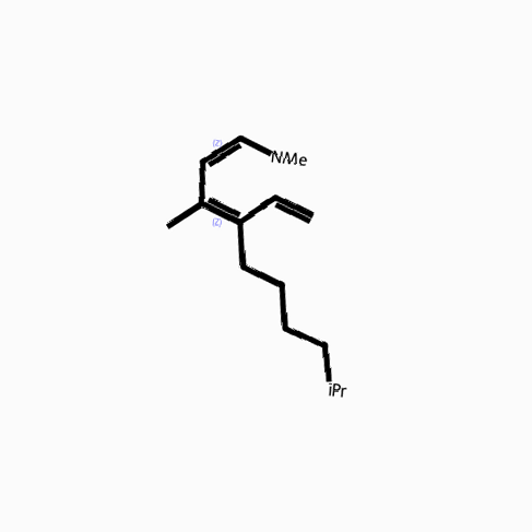 C=C/C(CCCCC(C)C)=C(C)\C=C/NC